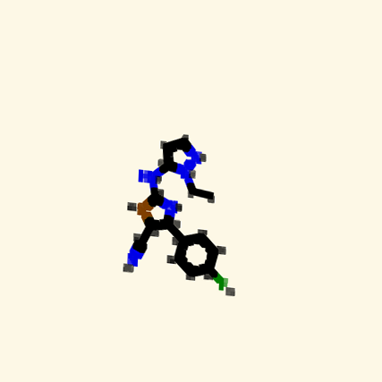 CCn1nccc1Nc1nc(-c2ccc(F)cc2)c(C#N)s1